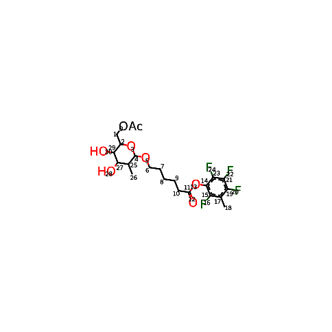 CC(=O)OCC1OC(OCCCCCC(=O)Oc2c(F)c(C)c(F)c(F)c2F)C(C)C(O)C1O